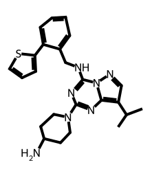 CC(C)c1cnn2c(NCc3ccccc3-c3cccs3)nc(N3CCC(N)CC3)nc12